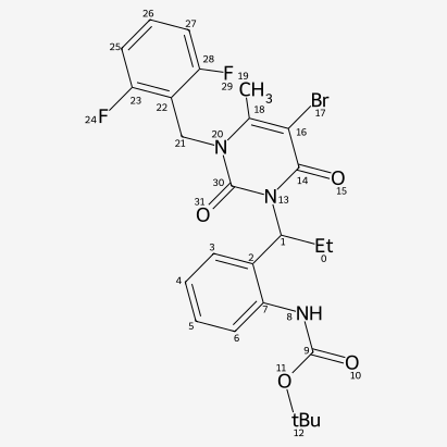 CCC(c1ccccc1NC(=O)OC(C)(C)C)n1c(=O)c(Br)c(C)n(Cc2c(F)cccc2F)c1=O